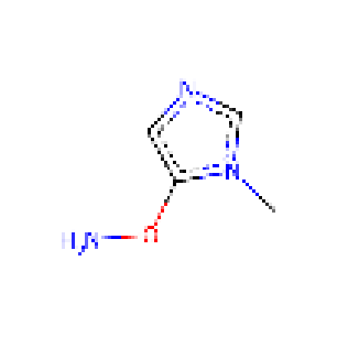 Cn1cncc1ON